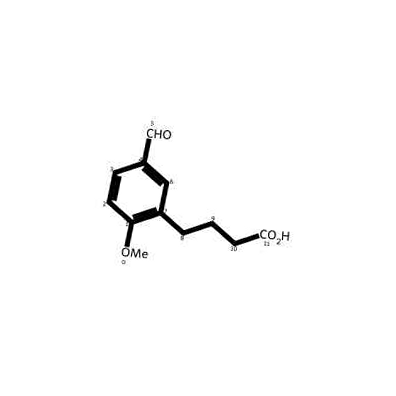 COc1ccc(C=O)cc1CCCC(=O)O